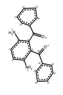 Nc1ccc(N)c(C(=O)c2ccccc2)c1C(=O)c1ccccc1